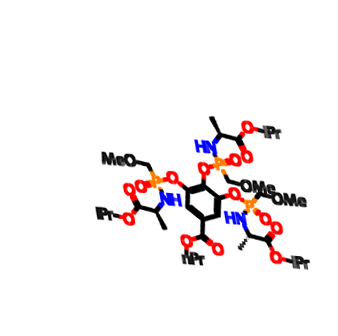 CCCOC(=O)c1cc(OP(=O)(COC)N[C@@H](C)C(=O)OC(C)C)c(OP(=O)(COC)N[C@@H](C)C(=O)OC(C)C)c(OP(=O)(COC)N[C@@H](C)C(=O)OC(C)C)c1